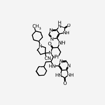 CC(C)CC(Nc1ncnc2[nH]c(=O)[nH]c12)C(=O)N(CC(CC1CCCCC1)Nc1ncnc2[nH]c(=O)[nH]c12)C1(C#N)CCN(C2CCC(C)CC2)C1